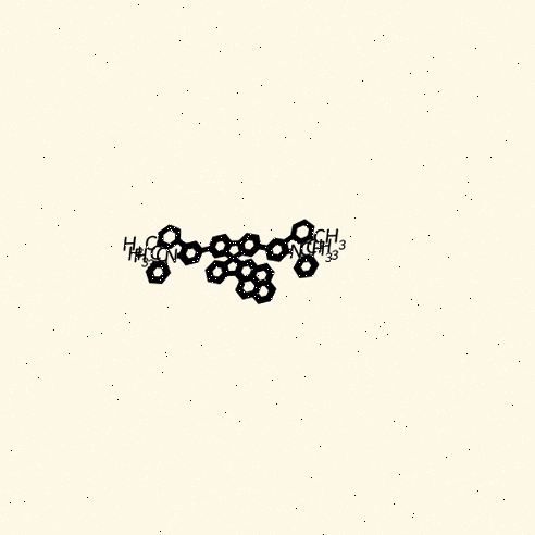 CC1(C)CCCC2c3cc(-c4ccc5c(c4)C4(c6cc(-c7ccc8c(c7)C7CCCC(C)(C)C7(C)N8c7ccccc7)ccc6-5)c5ccccc5-c5c4cc4ccc6cccc7ccc5c4c67)ccc3N(c3ccccc3)C21C